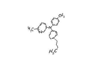 CCCCc1ccc(N(c2ccc(C)cc2)c2ccc(C)nc2)cc1